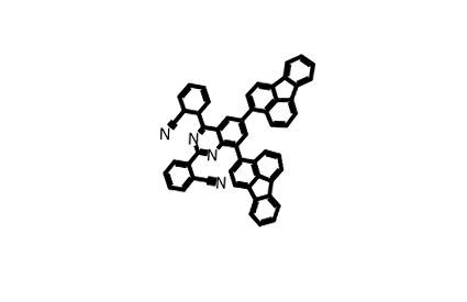 N#Cc1ccccc1-c1nc(C2C=CC=CC2C#N)c2cc(-c3ccc4c5c(cccc35)-c3ccccc3-4)cc(-c3ccc4c5c(cccc35)-c3ccccc3-4)c2n1